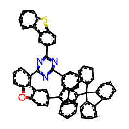 c1ccc(-c2cccc(-c3nc(-c4ccc5sc6ccccc6c5c4)nc(-c4cccc5oc6ccc(-c7ccc8c(c7)-c7ccccc7C87c8ccccc8-c8ccccc87)cc6c45)n3)c2)cc1